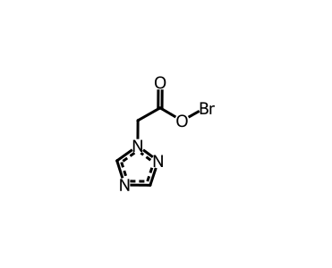 O=C(Cn1cncn1)OBr